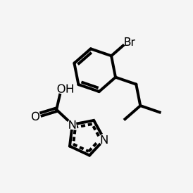 CC(C)CC1C=CC=CC1Br.O=C(O)n1ccnc1